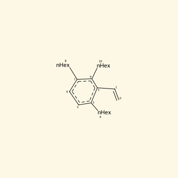 C=Cc1c(CCCCCC)ccc(CCCCCC)c1CCCCCC